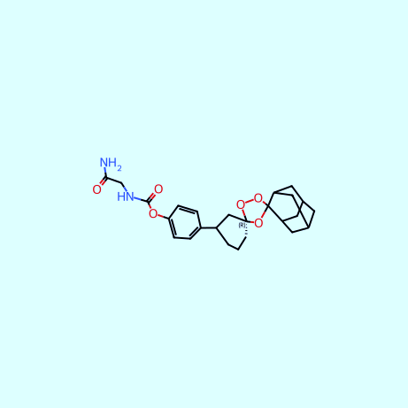 NC(=O)CNC(=O)Oc1ccc(C2CCC[C@]3(C2)OOC2(O3)C3CC4CC(C3)CC2C4)cc1